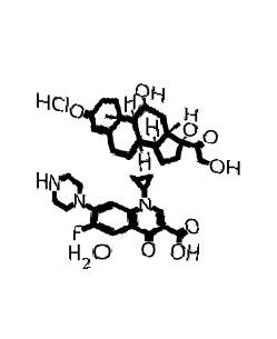 C[C@]12CCC(=O)C=C1CC[C@@H]1[C@@H]2[C@@H](O)C[C@@]2(C)[C@H]1CC[C@]2(O)C(=O)CO.Cl.O.O=C(O)c1cn(C2CC2)c2cc(N3CCNCC3)c(F)cc2c1=O